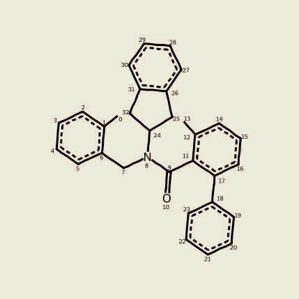 Cc1ccccc1CN(C(=O)c1c(C)cccc1-c1ccccc1)C1Cc2ccccc2C1